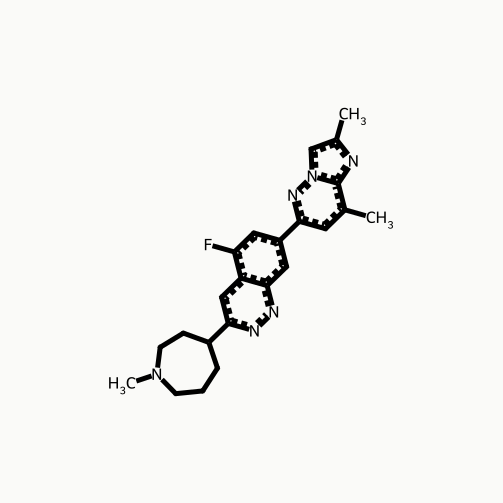 Cc1cn2nc(-c3cc(F)c4cc(C5CCCN(C)CC5)nnc4c3)cc(C)c2n1